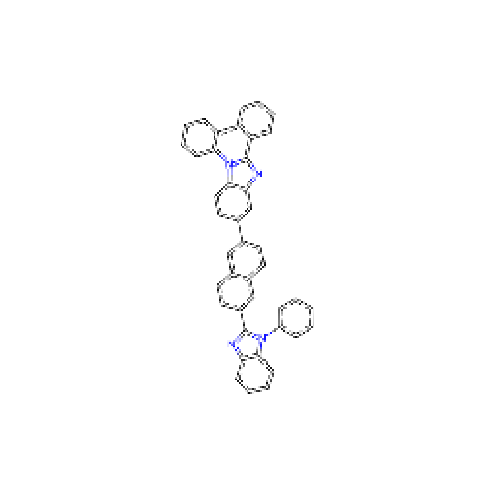 c1ccc(-n2c(-c3ccc4cc(-c5ccc6c(c5)nc5c7ccccc7c7ccccc7n65)ccc4c3)nc3ccccc32)cc1